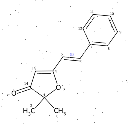 CC1(C)OC(/C=C/c2ccccc2)=CC1=O